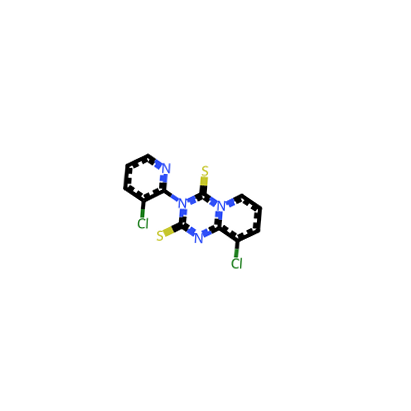 S=c1nc2c(Cl)cccn2c(=S)n1-c1ncccc1Cl